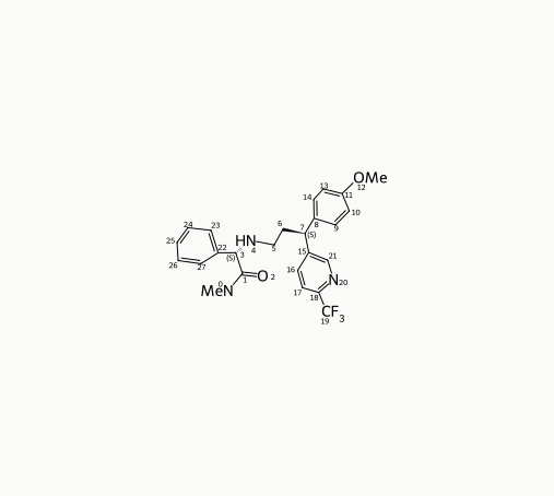 CNC(=O)[C@@H](NCC[C@@H](c1ccc(OC)cc1)c1ccc(C(F)(F)F)nc1)c1ccccc1